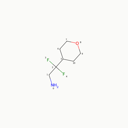 NCC(F)(F)C1CCOCC1